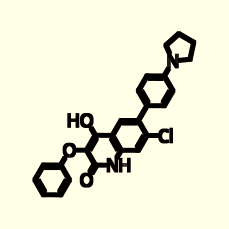 O=c1[nH]c2cc(Cl)c(-c3ccc(N4CCCC4)cc3)cc2c(O)c1Oc1ccccc1